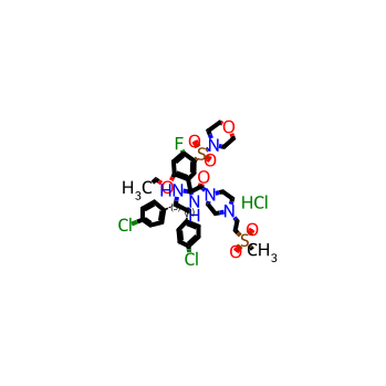 CCOc1cc(F)c(S(=O)(=O)N2CCOCC2)cc1C1(C(=O)N2CCN(CCS(C)(=O)=O)CC2)N[C@H](c2ccc(Cl)cc2)[C@H](c2ccc(Cl)cc2)N1.Cl